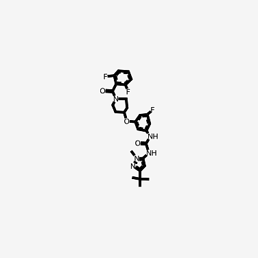 Cn1nc(C(C)(C)C)cc1NC(=O)Nc1cc(F)cc(OC2CCN(C(=O)c3c(F)cccc3F)CC2)c1